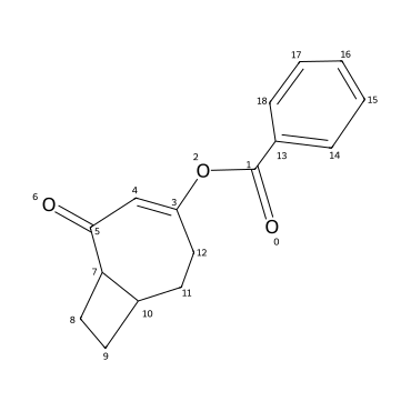 O=C(OC1=CC(=O)C2CCC2CC1)c1ccccc1